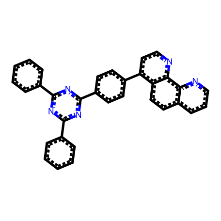 c1ccc(-c2nc(-c3ccccc3)nc(-c3ccc(-c4ccnc5c4ccc4cccnc45)cc3)n2)cc1